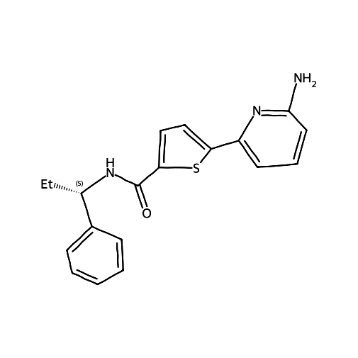 CC[C@H](NC(=O)c1ccc(-c2cccc(N)n2)s1)c1ccccc1